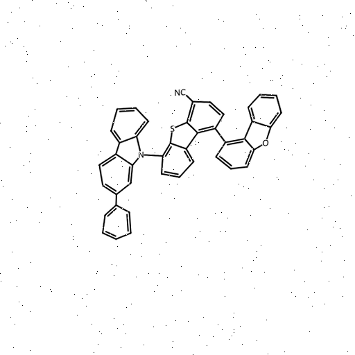 N#Cc1ccc(-c2cccc3oc4ccccc4c23)c2c1sc1c(-n3c4ccccc4c4ccc(-c5ccccc5)cc43)cccc12